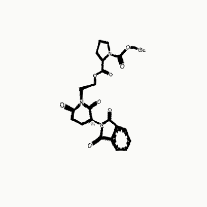 CC(C)(C)OC(=O)N1CCCC1C(=O)OCCN1C(=O)CC[C@H](N2C(=O)c3ccccc3C2=O)C1=O